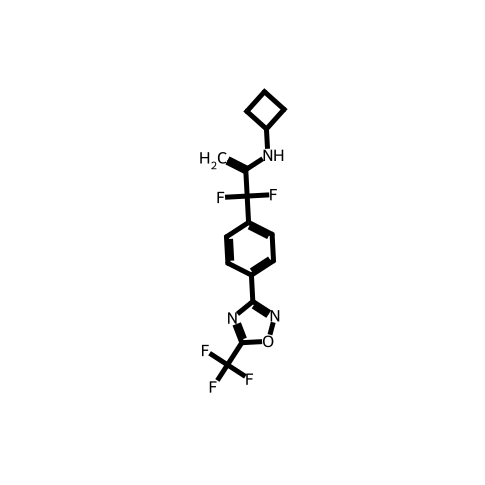 C=C(NC1CCC1)C(F)(F)c1ccc(-c2noc(C(F)(F)F)n2)cc1